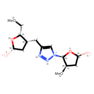 B[C@H]1C[C@@H](Cc2cn([C@H]3O[C@@H](B)C[C@H]3OC)nn2)[C@@H](COC)O1